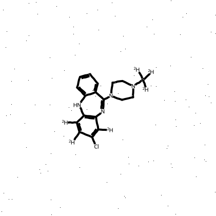 [2H]c1c([2H])c2c(c([2H])c1Cl)N=C(N1CCN(C([2H])([2H])[2H])CC1)c1ccccc1N2